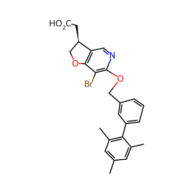 Cc1cc(C)c(-c2cccc(COc3ncc4c(c3Br)OC[C@H]4CC(=O)O)c2)c(C)c1